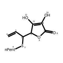 C=CC(SCCCCC)C1OC(=O)C(O)=C1O